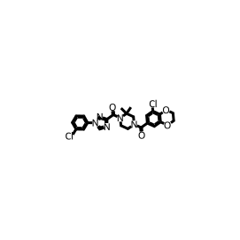 CC1(C)CN(C(=O)c2cc(Cl)c3c(c2)OCCO3)CCN1C(=O)c1ncn(-c2cccc(Cl)c2)n1